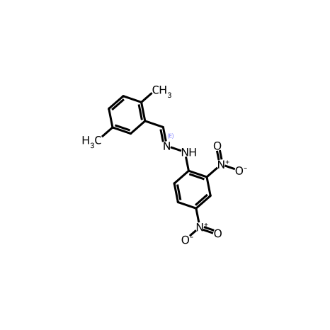 Cc1ccc(C)c(/C=N/Nc2ccc([N+](=O)[O-])cc2[N+](=O)[O-])c1